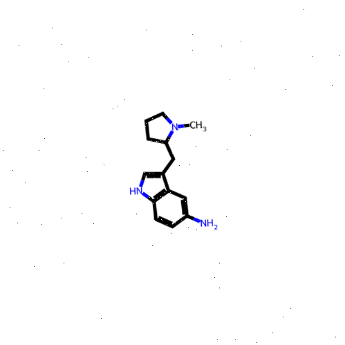 CN1CCCC1Cc1c[nH]c2ccc(N)cc12